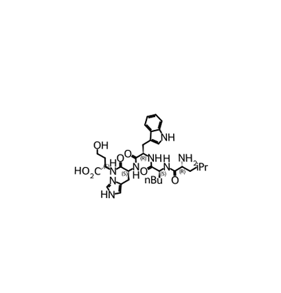 CCCC[C@H](NC(=O)[C@H](N)CC(C)C)C(=O)N[C@H](Cc1c[nH]c2ccccc12)C(=O)N[C@@H](Cc1c[nH]cn1)C(=O)N[C@@H](CCO)C(=O)O